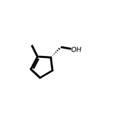 CC1=CCC[C@H]1CO